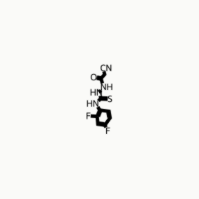 N#CCC(=O)NNC(=S)Nc1ccc(F)cc1F